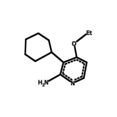 CCOc1ccnc(N)c1C1CCCCC1